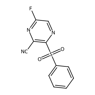 N#Cc1nc(F)cnc1S(=O)(=O)c1ccccc1